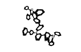 c1ccc(-c2ccc(N(c3cccc(-c4ccc5c(c4)c4ccccc4c4oc(-c6ccccc6)c(-c6ccccc6)c54)c3)c3cccc(-c4ccc5c(c4)c4ccccc4n5-c4ccccc4)c3)cc2)cc1